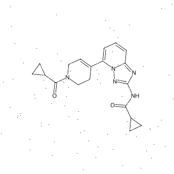 O=C(Nc1nc2cccc(C3=CCN(C(=O)C4CC4)CC3)n2n1)C1CC1